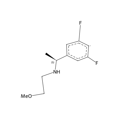 COCCN[C@@H](C)c1cc(F)[c]c(F)c1